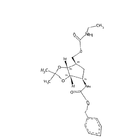 CCNC(=O)OC[C@H]1C[C@@H](NC(=O)OCc2ccccc2)[C@@H]2OC(C)(C)O[C@H]12